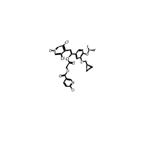 O=C(COC(=O)c1ccc(Cl)nc1)OC(Cc1c(Cl)c[n+]([O-])cc1Cl)c1ccc(OC(F)F)c(OCC2CC2)c1